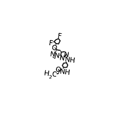 C=CC(=O)Nc1ccc(Nc2ncc3c(n2)N2CCN=C2C(Oc2ccc(F)cc2F)=C3)cc1